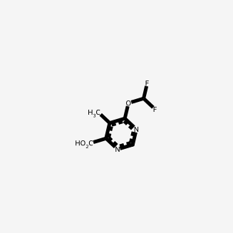 Cc1c(OC(F)F)ncnc1C(=O)O